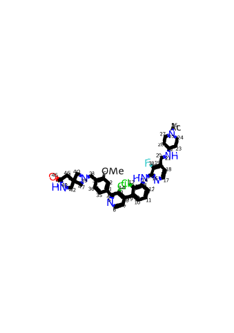 COc1cc(-c2nccc(-c3cccc(Nc4nccc(CNC5CCN(C(C)=O)CC5)c4F)c3Cl)c2Cl)ccc1CN1CC2(CNC(=O)C2)C1